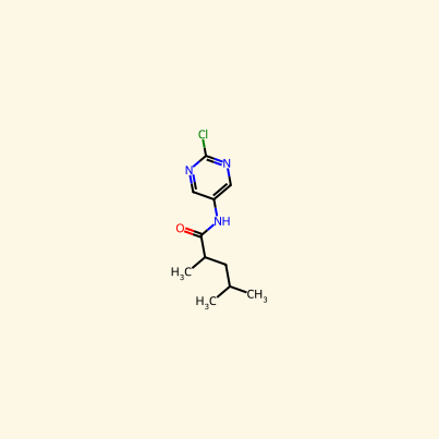 CC(C)CC(C)C(=O)Nc1cnc(Cl)nc1